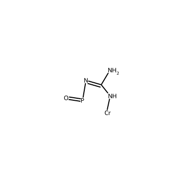 NC(=NP=O)[NH][Cr]